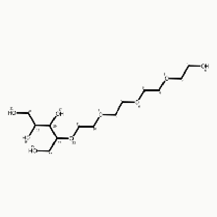 OCCOCCOCCOCCOC(CO)C(O)C(O)CO